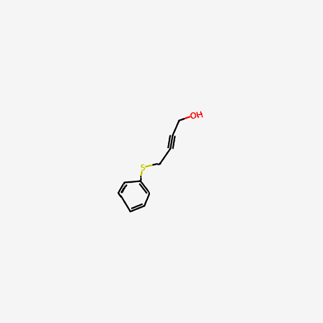 OCC#CCSc1ccccc1